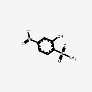 CS(=O)(=O)c1ccc([N+](=O)[O-])cc1O